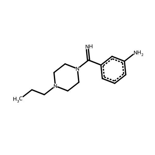 CCCN1CCN(C(=N)c2cccc(N)c2)CC1